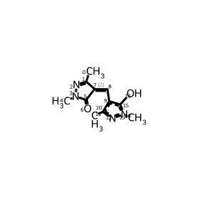 CC1=NN(C)C(=O)/C1=C\c1c(C)nn(C)c1O